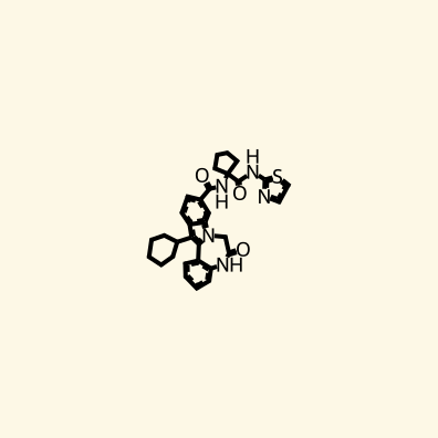 O=C1Cn2c(c(C3CCCCC3)c3ccc(C(=O)NC4(C(=O)Nc5nccs5)CCCC4)cc32)-c2ccccc2N1